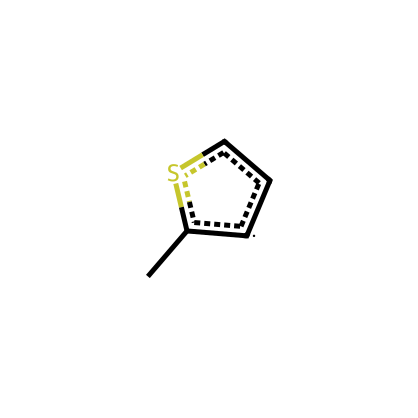 Cc1[c]ccs1